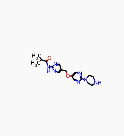 CC(C)C(=O)Nc1ncc(COc2cnc(N3CCNCC3)nc2)cn1